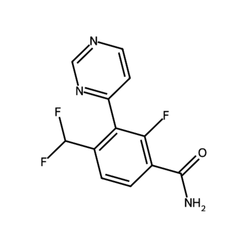 NC(=O)c1ccc(C(F)F)c(-c2ccncn2)c1F